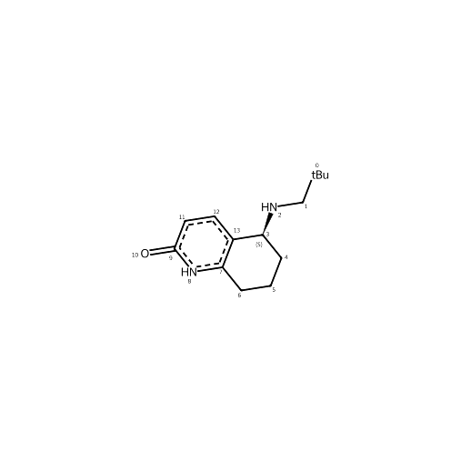 CC(C)(C)CN[C@H]1CCCc2[nH]c(=O)ccc21